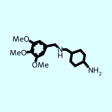 COc1cc(CNCC2CCC(N)CC2)cc(OC)c1OC